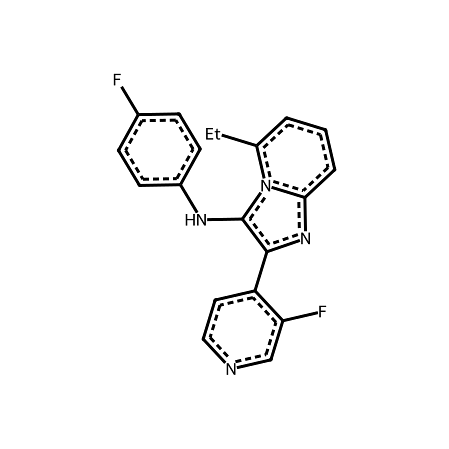 CCc1cccc2nc(-c3ccncc3F)c(Nc3ccc(F)cc3)n12